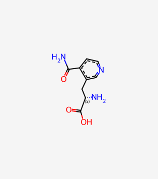 NC(=O)c1ccncc1C[C@H](N)C(=O)O